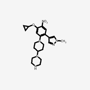 Cn1cc(-c2cc([N+](=O)[O-])c(OC3CC3)cc2N2CCC(N3CCNCC3)CC2)cn1